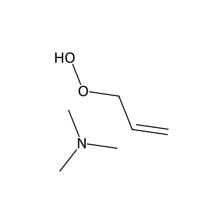 C=CCOO.CN(C)C